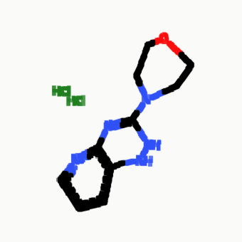 Cl.Cl.c1cnc2c(c1)NNC(N1CCOCC1)=N2